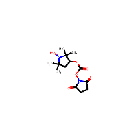 CC1(C)CC(OC(=O)ON2C(=O)CCC2=O)C(C)(C)N1O